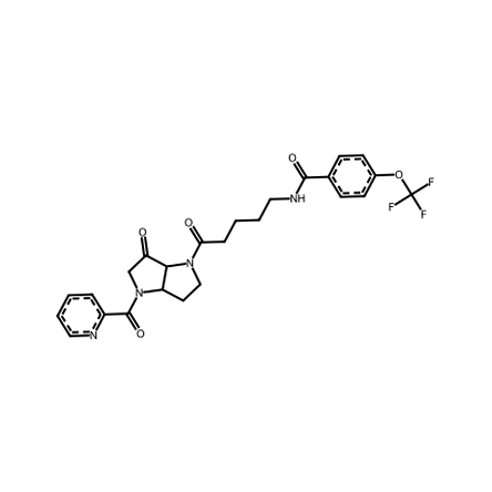 O=C(NCCCCC(=O)N1CCC2C1C(=O)CN2C(=O)c1ccccn1)c1ccc(OC(F)(F)F)cc1